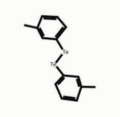 Cc1cccc([Te][Te]c2cccc(C)c2)c1